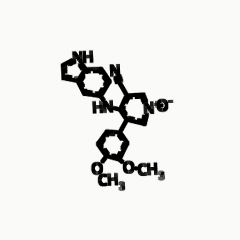 COc1ccc(-c2c[n+]([O-])cc(C#N)c2Nc2ccc3[nH]ccc3c2)cc1OC